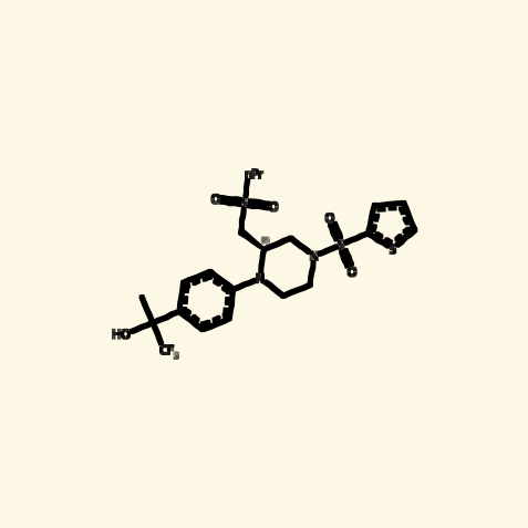 CCCS(=O)(=O)C[C@H]1CN(S(=O)(=O)c2cccs2)CCN1c1ccc(C(C)(O)C(F)(F)F)cc1